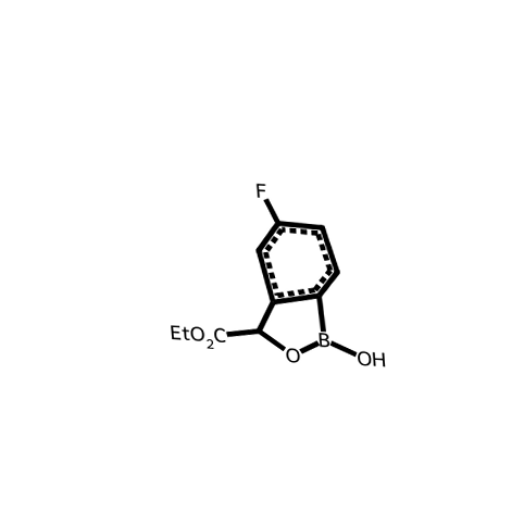 CCOC(=O)C1OB(O)c2ccc(F)cc21